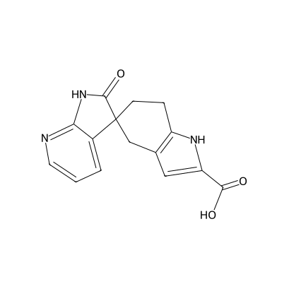 O=C(O)c1cc2c([nH]1)CCC1(C2)C(=O)Nc2ncccc21